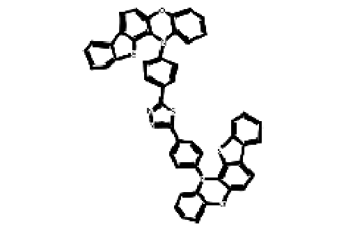 c1ccc2c(c1)Oc1ccc3c(sc4ccccc43)c1N2c1ccc(-c2nnc(-c3ccc(N4c5ccccc5Oc5ccc6c(sc7ccccc76)c54)cc3)s2)cc1